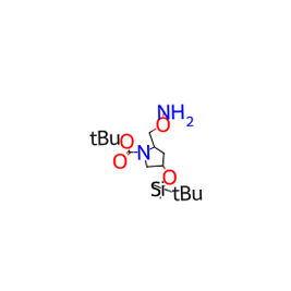 CC(C)(C)OC(=O)N1CC(O[Si](C)(C)C(C)(C)C)CC1CON